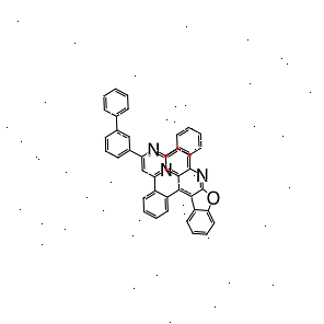 c1ccc(-c2cccc(-c3cc(-c4ccccc4-c4c5ccccc5nc5oc6ccccc6c45)nc(-c4ccccc4)n3)c2)cc1